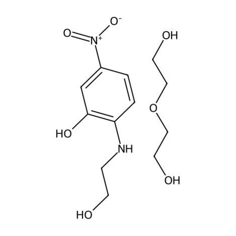 O=[N+]([O-])c1ccc(NCCO)c(O)c1.OCCOCCO